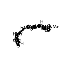 CNC(=O)c1ccccc1Nc1nc(Nc2ccc(N3CCN(C(=O)NC4CCC(NCCCCOCC(=O)Nc5ccc6c(c5)CN(C5CCC(=O)NC5=O)C6=O)CC4)CC3)cc2)ncc1Cl